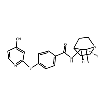 C[C@H]1[C@H](NC(=O)c2ccc(Sc3cc(C#N)ccn3)cc2)C2CCN1CC2